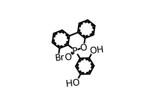 O=P1(c2cc(O)ccc2O)Oc2ccccc2-c2cccc(Br)c21